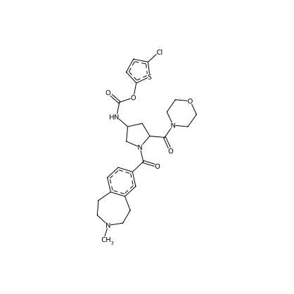 CN1CCc2ccc(C(=O)N3CC(NC(=O)Oc4ccc(Cl)s4)CC3C(=O)N3CCOCC3)cc2CC1